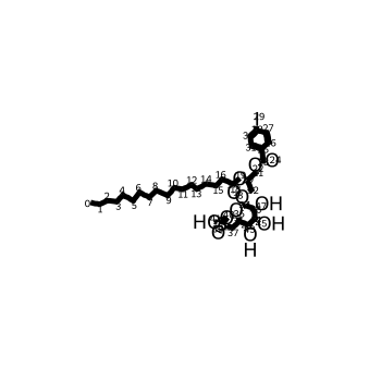 CCCCCCCCCCCCCCCCCC(=O)OC(COC(=O)c1ccc(I)cc1)COC1OC(CS(=O)(=O)O)C(O)C(O)C1O